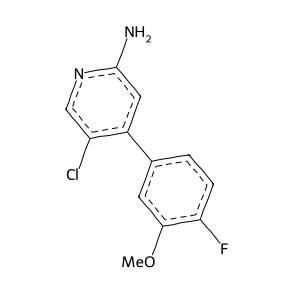 COc1cc(-c2cc(N)ncc2Cl)ccc1F